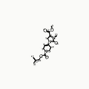 COC(=O)C1CN(C2=CCN(C(=O)OCC(C)C)CC2)C(=O)N1C